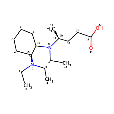 CCN(CC)[C@H]1CCCCC1N(CC)[C@@H](C)CCC(=O)O